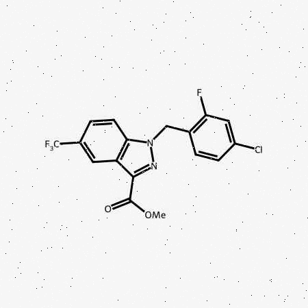 COC(=O)c1nn(Cc2ccc(Cl)cc2F)c2ccc(C(F)(F)F)cc12